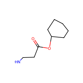 [NH]CCC(=O)OC1CCCCC1